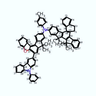 Cc1ccc(N(c2ccc3c(c2)C(C)(C)c2cc(-c4ccc5c(c4)c4ccccc4n5-c4ccccc4)c4oc5ccccc5c4c2-3)c2ccc3c(c2)C(C)(C)c2c-3c3c(c4c2C(C)(C)c2ccccc2-4)CCc2ccccc2-3)cc1